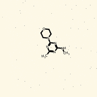 CNc1nc(C)nc(N2CCOCC2)n1